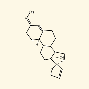 C[C@]12CCC3C(CCC4=CC(=NO)CC[C@@H]43)C1CC[C@@]21C=CCO1